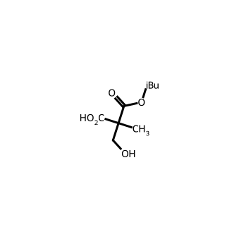 CCC(C)OC(=O)C(C)(CO)C(=O)O